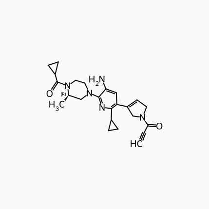 C#CC(=O)N1CC=C(c2cc(N)c(N3CCN(C(=O)C4CC4)[C@H](C)C3)nc2C2CC2)C1